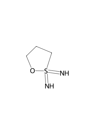 N=S1(=N)CCCO1